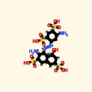 Nc1cc(N=Nc2c(N)c(S(=O)(=O)O)cc3cc(S(=O)(=O)O)cc(O)c23)c(S(=O)(=O)O)cc1S(=O)(=O)O